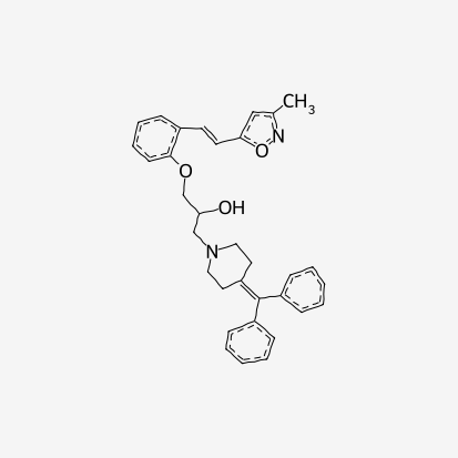 Cc1cc(C=Cc2ccccc2OCC(O)CN2CCC(=C(c3ccccc3)c3ccccc3)CC2)on1